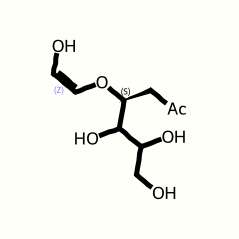 CC(=O)C[C@H](O/C=C\O)C(O)C(O)CO